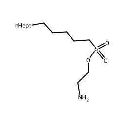 CCCCCCCCCCCCS(=O)(=O)OCCN